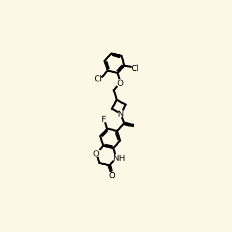 C=C(c1cc2c(cc1F)OCC(=O)N2)N1CC(COc2c(Cl)cccc2Cl)C1